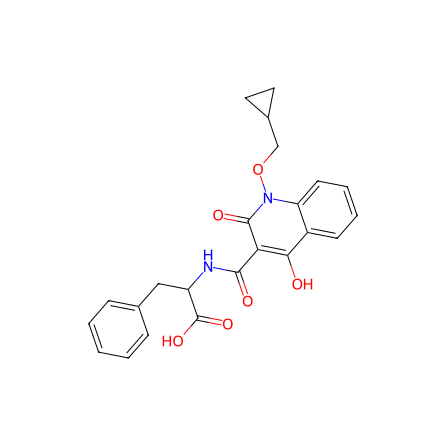 O=C(NC(Cc1ccccc1)C(=O)O)c1c(O)c2ccccc2n(OCC2CC2)c1=O